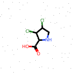 O=C(O)C1NCC(Cl)C1Cl